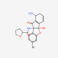 CC(C)c1ccc2c(c1)OC1(O)C3=C(C(=O)C21NC(=O)C1CCCO1)C(N)CC=C3